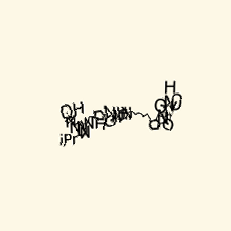 CC(C)c1cnn2c(NCc3ccc(NC(=O)N4CCN(CCCCCc5cccc6c5CN([C@@H]5CCC(=O)NC5=O)C6=O)CC4)cc3)cc(-n3ccc(O)c3)nc12